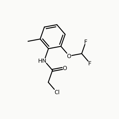 Cc1cccc(OC(F)F)c1NC(=O)CCl